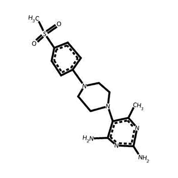 Cc1nc(N)nc(N)c1N1CCN(c2ccc(S(C)(=O)=O)cc2)CC1